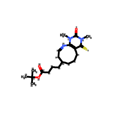 Cn1c2c(c(=S)n(C)c1=O)CCCC(CCCC(=O)OC(C)(C)C)C/C=N\2